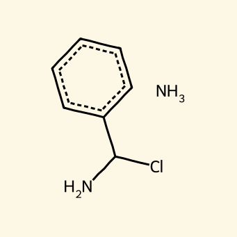 N.NC(Cl)c1ccccc1